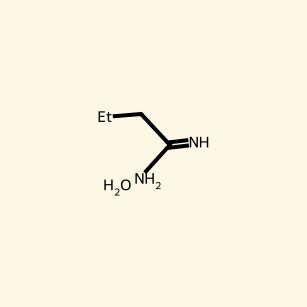 CCCC(=N)N.O